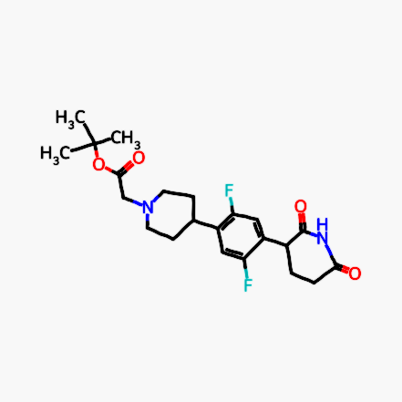 CC(C)(C)OC(=O)CN1CCC(c2cc(F)c(C3CCC(=O)NC3=O)cc2F)CC1